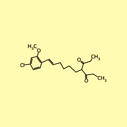 CCC(=O)C(CCCCC=Cc1ccc(Cl)cc1OC)C(=O)CC